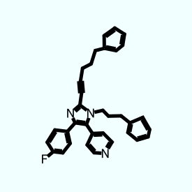 Fc1ccc(-c2nc(C#CCCCc3ccccc3)n(CCCc3ccccc3)c2-c2ccncc2)cc1